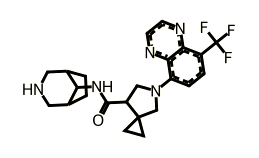 O=C(NC1C2CCC1CNC2)C1CN(c2ccc(C(F)(F)F)c3nccnc23)CC12CC2